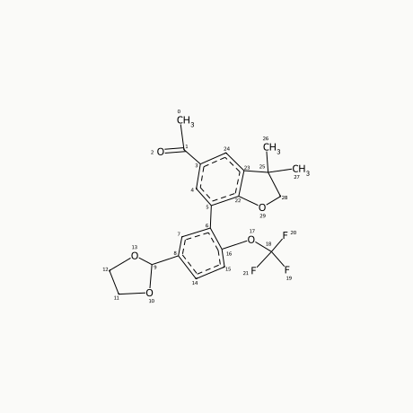 CC(=O)c1cc(-c2cc(C3OCCO3)ccc2OC(F)(F)F)c2c(c1)C(C)(C)CO2